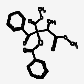 COC(=O)C(O)C(OC(=O)c1ccccc1)(C(=O)OC)C(=O)c1ccccc1